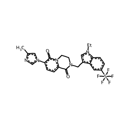 CCn1cc(CN2CCn3c(ccc(-n4cnc(C)c4)c3=O)C2=O)c2cc(S(F)(F)(F)(F)F)ccc21